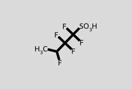 CC(F)C(F)(F)C(F)(F)S(=O)(=O)O